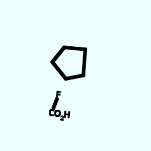 C1CCCC1.O=C(O)F